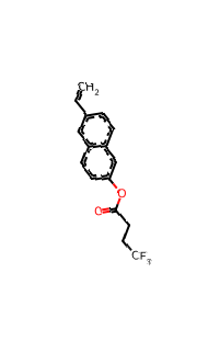 C=Cc1ccc2cc(OC(=O)CCC(F)(F)F)ccc2c1